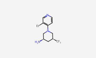 CCc1cnccc1N1C[C@H](N)C[C@H](C(F)(F)F)C1